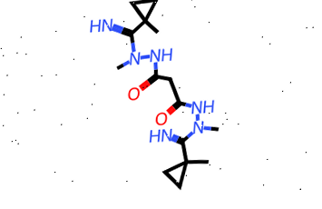 CN(NC(=O)CC(=O)NN(C)C(=N)C1(C)CC1)C(=N)C1(C)CC1